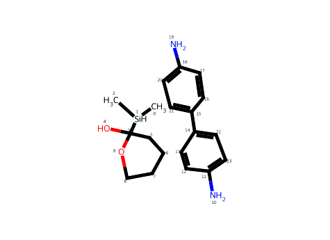 C[SiH](C)C1(O)CCCCO1.Nc1ccc(-c2ccc(N)cc2)cc1